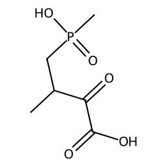 CC(CP(C)(=O)O)C(=O)C(=O)O